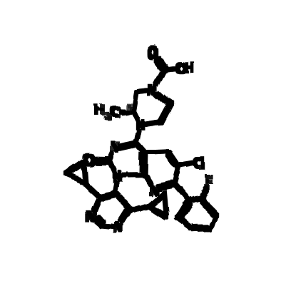 C[C@H]1CN(C(=O)O)CCN1c1nc(=O)n(-c2c(C3CC3)ncnc2C2CC2)c2nc(-c3ccccc3F)c(Cl)cc12